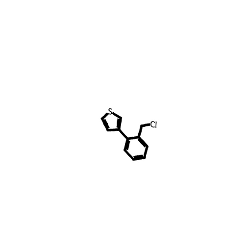 ClCc1ccccc1-c1ccsc1